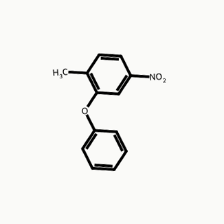 Cc1ccc([N+](=O)[O-])cc1Oc1ccccc1